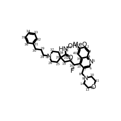 COc1ccc2ncc(CN3CCOCC3)c([C@H](F)CCC3(C(=O)NO)CCN(CCCc4ccccc4)CC3)c2c1